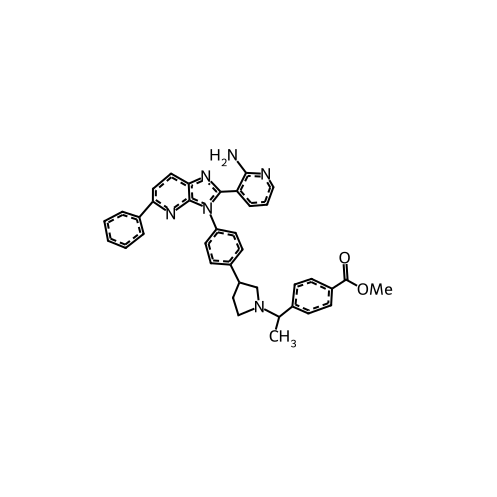 COC(=O)c1ccc(C(C)N2CCC(c3ccc(-n4c(-c5cccnc5N)nc5ccc(-c6ccccc6)nc54)cc3)C2)cc1